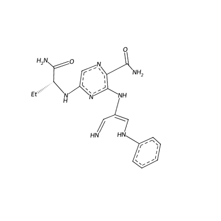 CC[C@@H](Nc1cnc(C(N)=O)c(N/C(C=N)=C/Nc2ccccc2)n1)C(N)=O